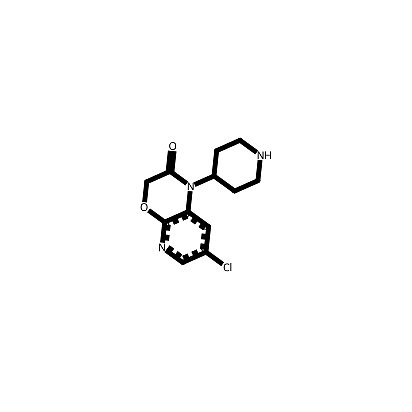 O=C1COc2ncc(Cl)cc2N1C1CCNCC1